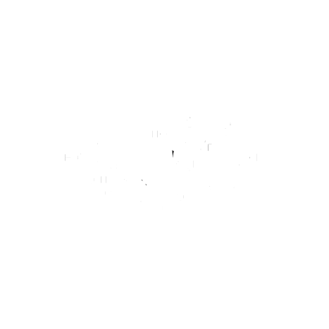 CC(C)(C)OC(=O)N1CCO[C@@H](c2ccc(Cl)c(Cl)c2)[C@H](C(O)C(F)(F)F)C1